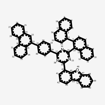 c1ccc2c(-c3ccc4ccccc4c3-c3nc(-c4ccc(-c5cc6ccccc6c6ccccc56)cc4)nc(-c4cccc5c4oc4ccccc45)n3)cccc2c1